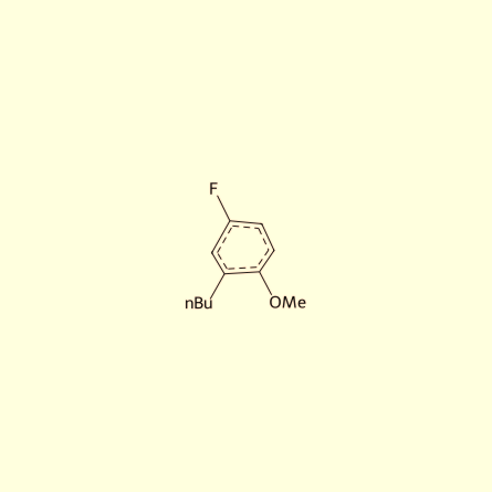 CCCCc1cc(F)ccc1OC